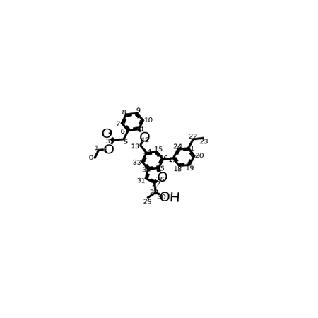 CCOC(=O)Cc1ccccc1OCc1cc(-c2cccc(CC)c2)c2oc(C(C)O)cc2c1